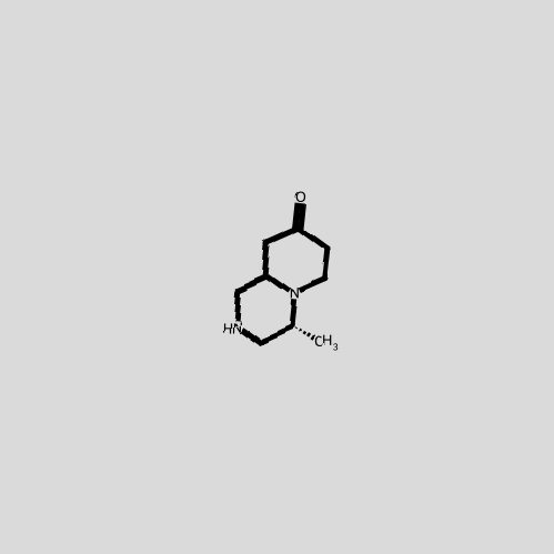 C[C@@H]1CNCC2CC(=O)CCN21